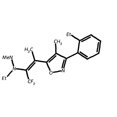 CCc1ccccc1-c1noc(/C(C)=C(/N(CC)NC)C(F)(F)F)c1C